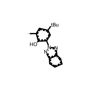 [CH2]c1cc(C(C)(C)C)cc(-n2nc3ccccc3n2)c1O